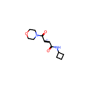 O=C(/C=C/C(=O)N1CCOCC1)NC1CCC1